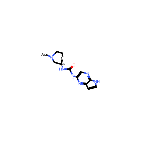 CC(=O)N1CCC[C@@H](NC(=O)Nc2cnc3[nH]ccc3n2)C1